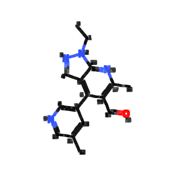 CCn1ncc2c(-c3cncc(C)c3)c(C=O)c(C)nc21